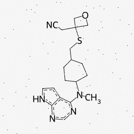 CN(c1ncnc2[nH]ccc12)C1CCC(CSC2(CC#N)COC2)CC1